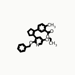 CCOC(=O)c1cc(C2=C(c3cc(Cl)cnc3OCc3ccccc3)CCC2)ccc1C